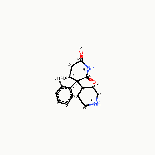 CC(=O)Nc1ccccc1C1(C2CCNCC2)CCC(=O)NC1=O